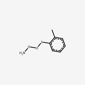 Cc1ccccc1SOON